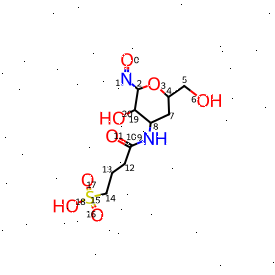 O=NC1OC(CO)CC(NC(=O)CCCS(=O)(=O)O)C1O